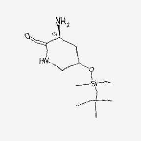 CC(C)(C)[Si](C)(C)OC1CNC(=O)[C@@H](N)C1